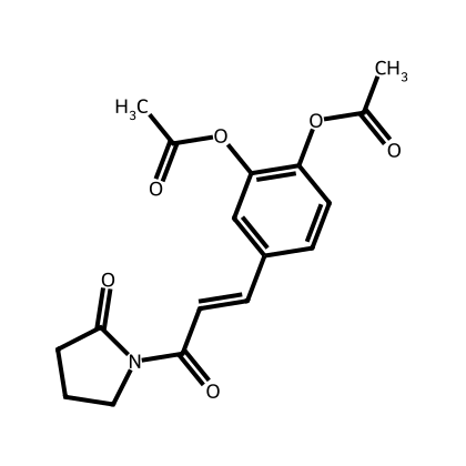 CC(=O)Oc1ccc(/C=C/C(=O)N2CCCC2=O)cc1OC(C)=O